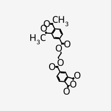 CC(=O)c1ccc(C(=O)OCCOC(=O)c2ccc3c(c2)C(=O)OC3=O)cc1C(C)=O